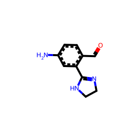 Nc1ccc(C=O)c(C2=NCCN2)c1